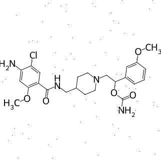 COc1cccc(C(CN2CCC(CNC(=O)c3cc(Cl)c(N)cc3OC)CC2)OC(N)=O)c1